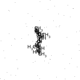 CC[C@@H](NC(=O)c1ccc(-c2nc(C)cc(Nc3cc(C)[nH]n3)n2)cn1)c1ccc(-n2ccc(C)n2)nc1